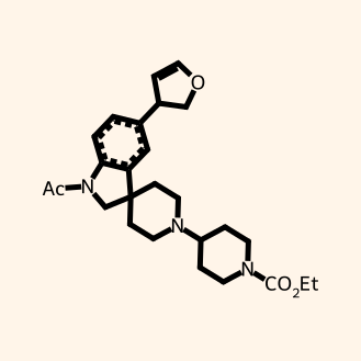 CCOC(=O)N1CCC(N2CCC3(CC2)CN(C(C)=O)c2ccc(C4C=COC4)cc23)CC1